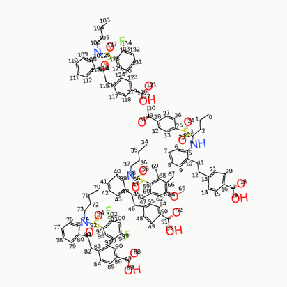 CCCC(Nc1ccccc1CCc1ccc(C(=O)O)cc1)S(=O)(=O)c1ccc(C(C)=O)cc1.CCCCN(c1ccccc1CCc1ccc(C(=O)O)cc1)S(=O)(=O)c1c(C)cc(OC)c(C)c1C.CCCCN(c1ccccc1CCc1ccc(C(=O)O)cc1)S(=O)(=O)c1ccc(F)cc1F.CCCCN(c1ccccc1CCc1ccc(C(=O)O)cc1)S(=O)(=O)c1ccccc1F